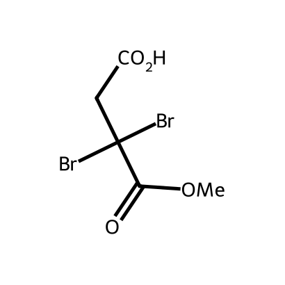 COC(=O)C(Br)(Br)CC(=O)O